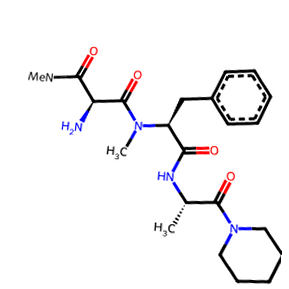 CNC(=O)[C@H](N)C(=O)N(C)[C@@H](Cc1ccccc1)C(=O)N[C@@H](C)C(=O)N1CCCCC1